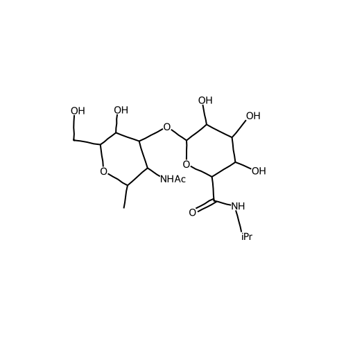 CC(=O)NC1C(C)OC(CO)C(O)C1OC1OC(C(=O)NC(C)C)C(O)C(O)C1O